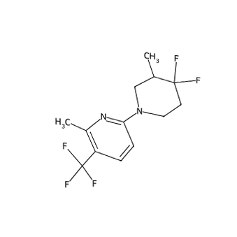 Cc1nc(N2CCC(F)(F)C(C)C2)ccc1C(F)(F)F